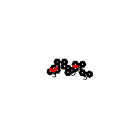 c1ccc(-c2ccccc2N(c2ccc3c(c2)Oc2cccc4c2c-3cc2c3ccccc3c(N(c3ccc5sc6ccccc6c5c3)c3ccccc3-c3ccccc3)cc42)c2ccc3sc4ccccc4c3c2)cc1